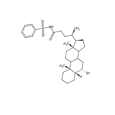 CC[C@H]1CC2C3CC[C@H]([C@H](C)CCC(=O)NS(=O)(=O)c4ccccc4)[C@@]3(C)CCC2[C@@]2(C)CCCC[C@@H]12